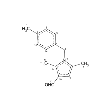 Cc1ccc(Cn2c(C)cc(C=O)c2C)cc1